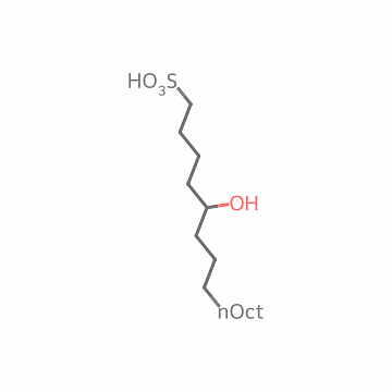 CCCCCCCCCCCC(O)CCCCS(=O)(=O)O